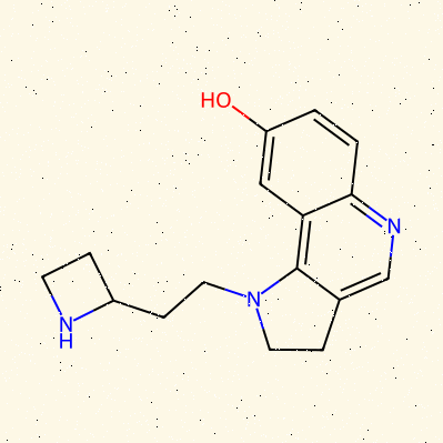 Oc1ccc2ncc3c(c2c1)N(CCC1CCN1)CC3